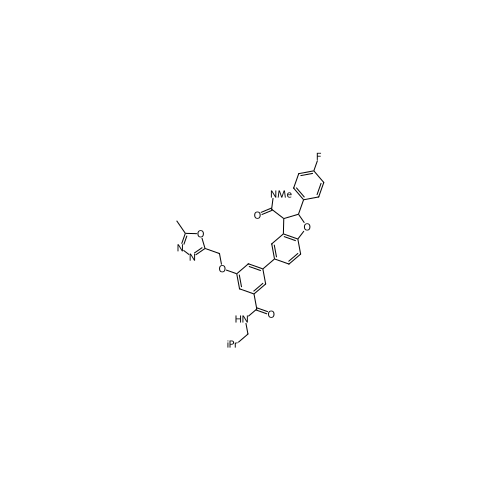 CNC(=O)C1c2cc(-c3cc(OCc4nnc(C)o4)cc(C(=O)NCC(C)C)c3)ccc2OC1c1ccc(F)cc1